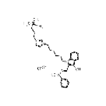 CN(N=Cc1n(C)c2ccccc2[n+]1CCCCCCn1cc[n+](CCC[Si](C)(C)C)c1)c1ccccc1.[Cl-].[Cl-]